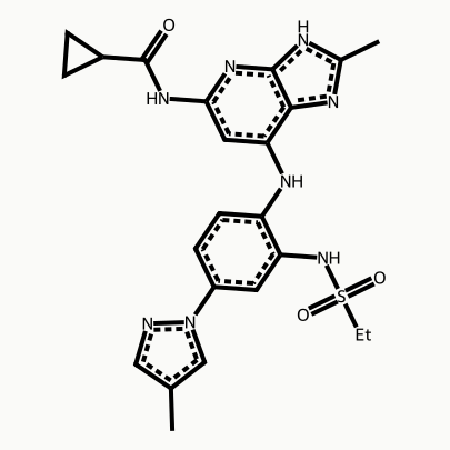 CCS(=O)(=O)Nc1cc(-n2cc(C)cn2)ccc1Nc1cc(NC(=O)C2CC2)nc2[nH]c(C)nc12